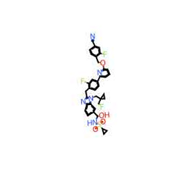 N#Cc1ccc(COc2cccc(-c3ccc(Cc4nc5ccc(C(O)NS(=O)(=O)C6CC6)cc5n4CC4(CF)CC4)c(F)c3)n2)c(F)c1